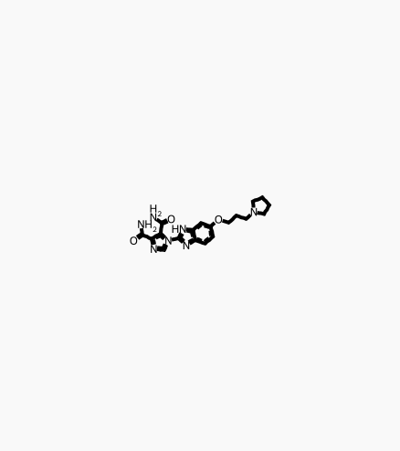 NC(=O)c1ncn(-c2nc3ccc(OCCCN4CCCC4)cc3[nH]2)c1C(N)=O